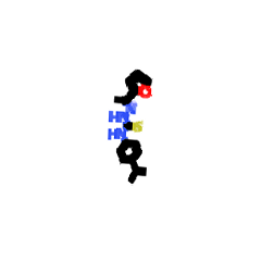 C/C(=N\NC(=S)Nc1ccc(C(C)C)cc1)c1ccco1